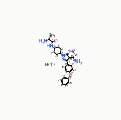 CCCC(N)C(=O)NC1CCC(n2nc(-c3ccc(Oc4ccccc4)cc3)c3c(N)ncnc32)CC1.Cl